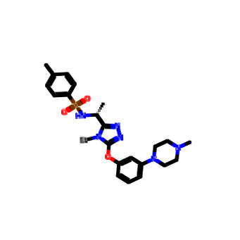 CCn1c(Oc2cccc(N3CCN(C)CC3)c2)nnc1[C@@H](C)NS(=O)(=O)c1ccc(C)cc1